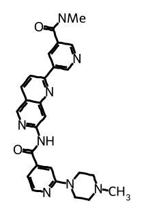 CNC(=O)c1cncc(-c2ccc3cnc(NC(=O)c4ccnc(N5CCN(C)CC5)c4)cc3n2)c1